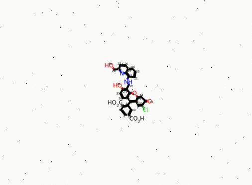 O=C(O)c1ccc(C(=O)O)c(-c2c3cc(Cl)c(=O)cc-3oc3c(CNc4cccc5ccc(CO)nc45)c(O)ccc23)c1